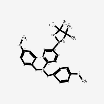 COc1ccc(CN(Cc2ccc(OC)cc2)c2ccc(B3OC(C)(C)C(C)(C)O3)cn2)cc1